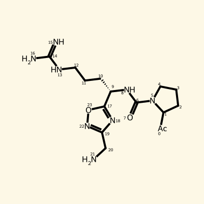 CC(=O)C1CCCN1C(=O)N[C@@H](CCCNC(=N)N)c1nc(CN)no1